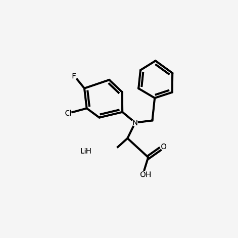 CC(C(=O)O)N(Cc1ccccc1)c1ccc(F)c(Cl)c1.[LiH]